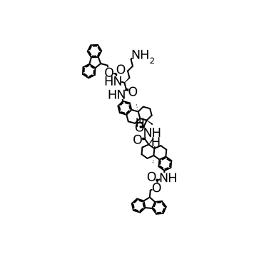 C[C@]1(C(=O)NC(=O)[C@@]2(C)CCC[C@]3(C)c4cc(NC(=O)[C@H](CCCCN)NC(=O)OCC5c6ccccc6-c6ccccc65)ccc4CC[C@@H]23)CCC[C@]2(C)c3cc(NC(=O)OCC4c5ccccc5-c5ccccc54)ccc3CC[C@@H]12